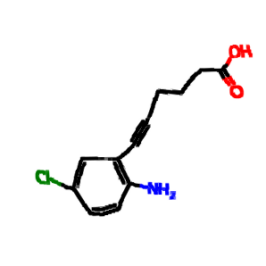 Nc1ccc(Cl)cc1C#CCCCC(=O)O